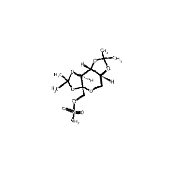 CC1(C)O[C@@H]2[C@@H](CO[C@]3(COS(N)(=O)=O)OC(C)(C)O[C@@H]23)O1